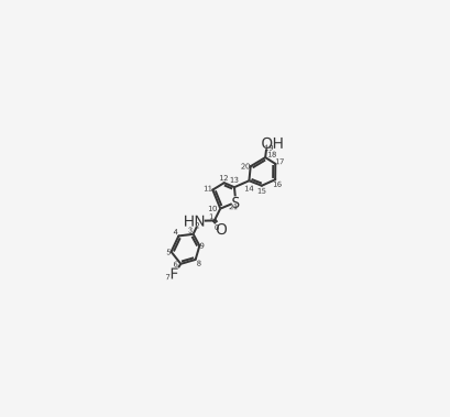 O=C(Nc1ccc(F)cc1)c1ccc(-c2cccc(O)c2)s1